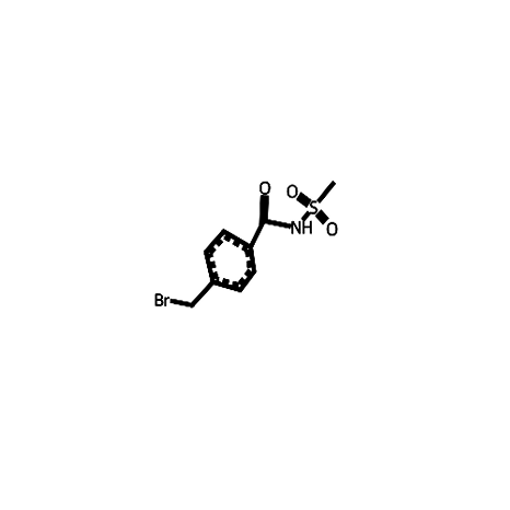 CS(=O)(=O)NC(=O)c1ccc(CBr)cc1